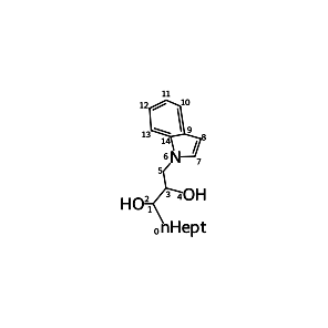 CCCCCCCC(O)C(O)Cn1ccc2ccccc21